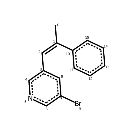 CC(=Cc1cncc(Br)c1)c1ccccc1